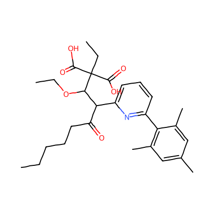 CCCCCC(=O)C(c1cccc(-c2c(C)cc(C)cc2C)n1)C(OCC)C(CC)(C(=O)O)C(=O)O